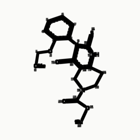 COCOc1ccccc1-n1c(=S)[nH]c2c(c1=O)CN(C(=O)OC(C)(C)C)CC2